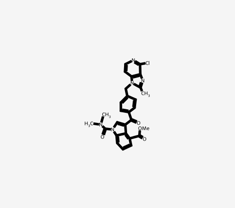 COC(=O)c1cccc2c1c(C(=O)c1ccc(Cn3c(C)nc4c(Cl)nccc43)cc1)cn2C(=O)N(C)C